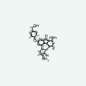 CNc1cc(F)c(F)c2c1[nH]c1nc(Oc3cnc(CO)nc3)nc(N3C[C@H]4CC3CC4N)c12